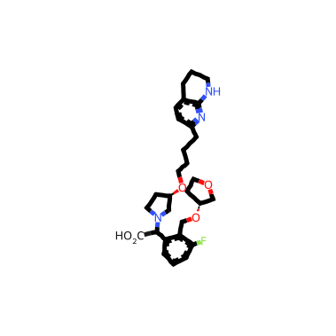 O=C(O)C(c1cccc(F)c1CO[C@@H]1CCOC1)N1CC[C@@H](OCCCCc2ccc3c(n2)NCCC3)C1